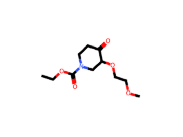 CCOC(=O)N1CCC(=O)C(OCCOC)C1